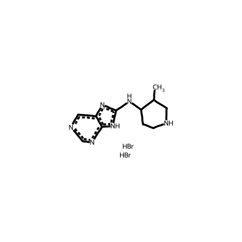 Br.Br.CC1CNCCC1Nc1nc2cncnc2[nH]1